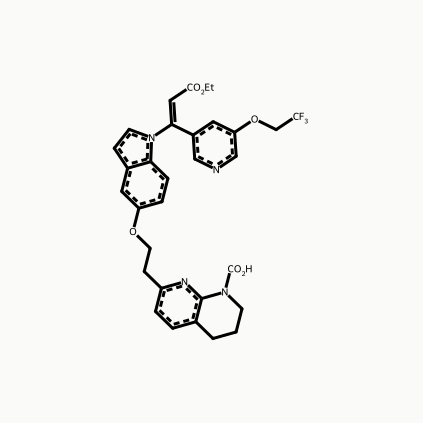 CCOC(=O)C=C(c1cncc(OCC(F)(F)F)c1)n1ccc2cc(OCCc3ccc4c(n3)N(C(=O)O)CCC4)ccc21